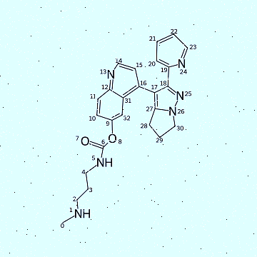 CNCCCNC(=O)Oc1ccc2nccc(-c3c(-c4ccccn4)nn4c3CCC4)c2c1